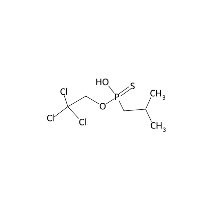 CC(C)CP(O)(=S)OCC(Cl)(Cl)Cl